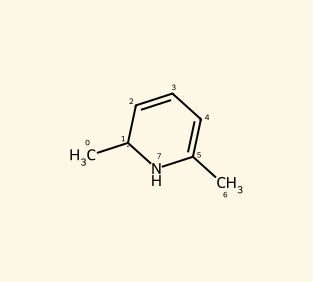 C[C]1C=CC=C(C)N1